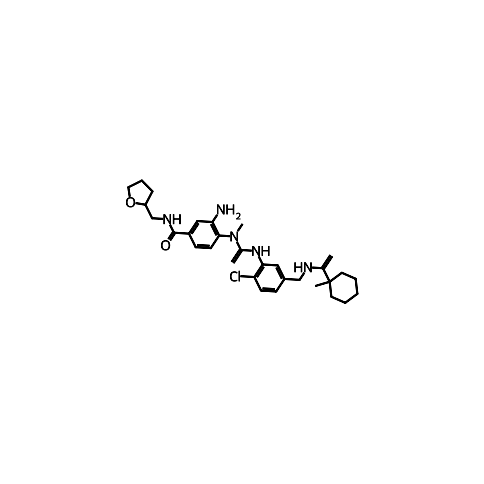 C=C(Nc1cc(CNC(=C)C2(C)CCCCC2)ccc1Cl)N(C)c1ccc(C(=O)NCC2CCCO2)cc1N